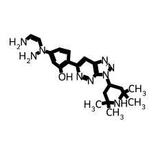 CC1(C)CC(n2nnc3cc(-c4ccc(N(N)/C=C\N)cc4O)nnc32)CC(C)(C)N1